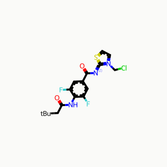 CC(C)(C)CC(=O)Nc1c(F)cc(C(=O)/N=c2\sccn2CCl)cc1F